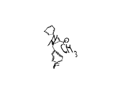 CC(=O)c1cn(-c2ccccc2)nc1-c1ccc(F)cc1